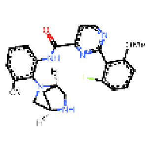 COc1cccc(F)c1-c1nccc(C(=O)Nc2cccc(C#N)c2N2C[C@H]3C[C@@H]2CN3)n1